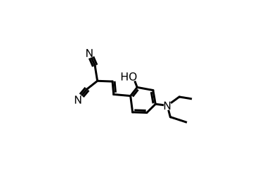 CCN(CC)c1ccc(C=CC(C#N)C#N)c(O)c1